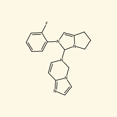 Fc1ccccc1N1C=C2CCCN2C1N1C=Cc2nccn2C1